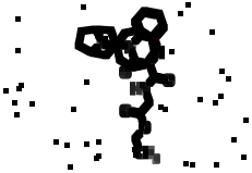 CCOC(=O)CNC(=O)c1nc2ccccc2n(C2CC3CCC(C2)N3C2CCCCCCC2)c1=O